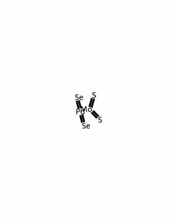 [S]=[Mo]=[S].[Se]=[Pd]=[Se]